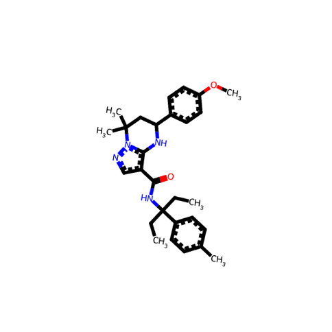 CCC(CC)(NC(=O)c1cnn2c1NC(c1ccc(OC)cc1)CC2(C)C)c1ccc(C)cc1